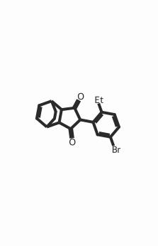 CCc1ccc(Br)cc1C1C(=O)C2C3C=CC(CC3)C2C1=O